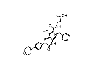 O=C(O)CCNC(=O)C1=C(O)C2=CC(c3ccc(N4CCOCC4)cc3)C(=O)NC2=CN1Cc1ccccc1